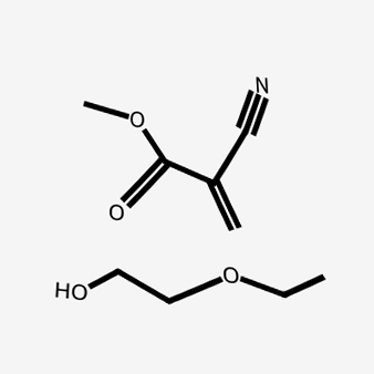 C=C(C#N)C(=O)OC.CCOCCO